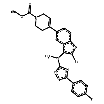 CCc1nc2ccc(C3=CCN(C(=O)OC(C)(C)C)CC3)cn2c1N(C)c1nc(-c2ccc(F)cc2)ns1